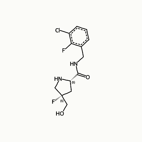 O=C(NCc1cccc(Cl)c1F)[C@@H]1C[C@@](F)(CO)CN1